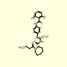 O=C(O)CCC(=O)N1CCCCC[C@H]1C(=O)N[C@@H](Cc1ccc(NC(=O)c2c(Cl)cccc2Cl)cc1)C(=O)O